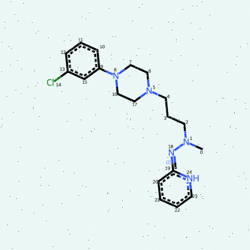 CN(CCCN1CCN(c2cccc(Cl)c2)CC1)/N=c1/cccc[nH]1